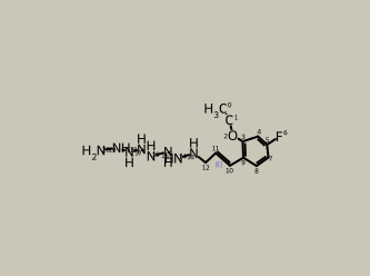 CCOc1cc(F)ccc1/C=C/CNNNNNNNN